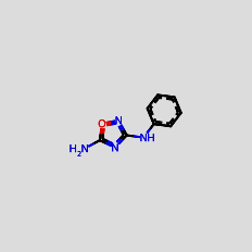 Nc1nc(Nc2ccccc2)no1